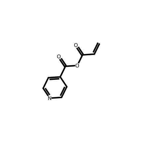 C=CC(=O)OC(=O)c1ccncc1